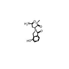 COC(=O)[C@H](CC(N)=O)N1Cc2c(O)cccc2C1=O